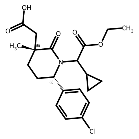 CCOC(=O)C(C1CC1)N1C(=O)[C@@](C)(CC(=O)O)CC[C@H]1c1ccc(Cl)cc1